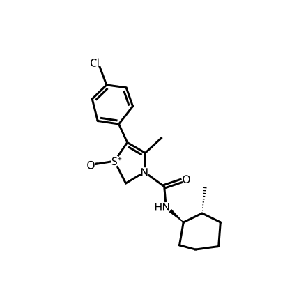 CC1=C(c2ccc(Cl)cc2)[S+]([O-])CN1C(=O)N[C@@H]1CCCC[C@H]1C